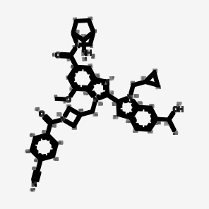 COc1cc(C(=O)N2CC3CCC2C3N)cc2nc(-c3cc4ccc(C(C)O)cc4n3CC3CC3)n(CC3CN(C(=O)c4ccc(C#N)cc4)C3)c12